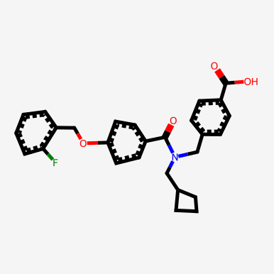 O=C(O)c1ccc(CN(CC2CCC2)C(=O)c2ccc(OCc3ccccc3F)cc2)cc1